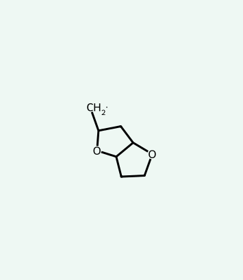 [CH2]C1CC2OCCC2O1